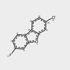 Fc1ccc2c(c1)oc1cc(Cl)ccc12